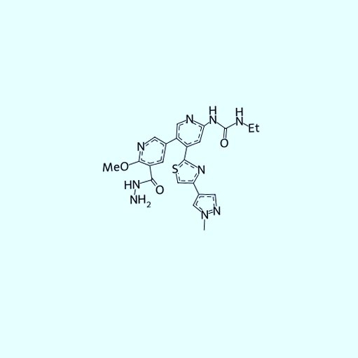 CCNC(=O)Nc1cc(-c2nc(-c3cnn(C)c3)cs2)c(-c2cnc(OC)c(C(=O)NN)c2)cn1